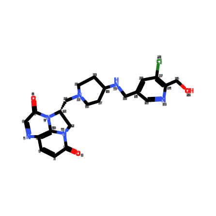 O=c1ccc2ncc(=O)n3c2n1C[C@H]3CN1CCC(NCc2cnc(CO)c(Cl)c2)CC1